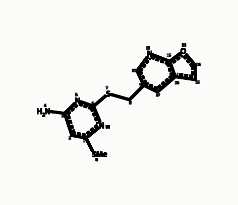 CSc1cc(N)nc(SCc2cnc3occc3c2)n1